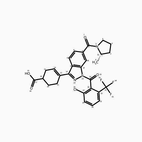 C[C@H]1CCCN1C(=O)c1ccc2c(C3=CCC(C(=O)O)CC3)nn(C(=O)c3c(Cl)cccc3C(F)(F)F)c2c1